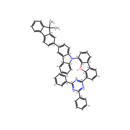 CC1(C)c2ccccc2-c2ccc(-c3ccc4c(c3)c3ccccc3n4-c3cccc4c3oc3c(-c5nc(-c6ccccc6)nc(-c6ccccc6)n5)cccc34)cc21